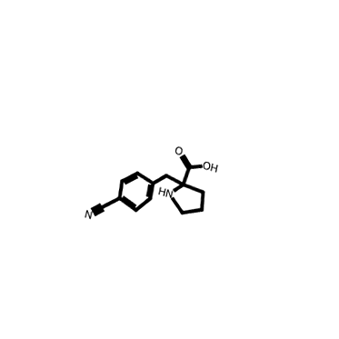 N#Cc1ccc(CC2(C(=O)O)CCCN2)cc1